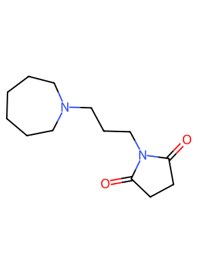 O=C1CCC(=O)N1CCCN1CCCCCC1